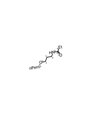 CCCCCOCCCNC(=O)CC